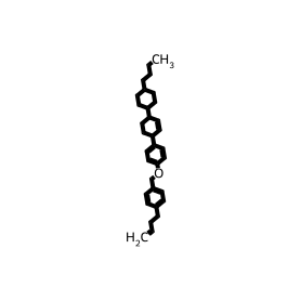 C=CCCc1ccc(COc2ccc(C3C=CC(C4CCC(CCCC)CC4)CC3)cc2)cc1